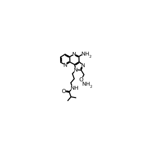 CC(C)C(=O)NCCCn1c(CON)nc2c(N)nc3cccnc3c21